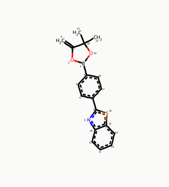 C=C1OB(c2ccc(-c3nc4ccccc4s3)cc2)OC1(C)C